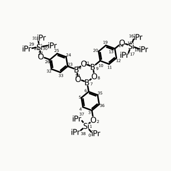 CC(C)[Si](Oc1ccc(B2OB(c3ccc(O[Si](C(C)C)(C(C)C)C(C)C)cc3)OB(c3ccc(O[Si](C(C)C)(C(C)C)C(C)C)cc3)O2)cc1)(C(C)C)C(C)C